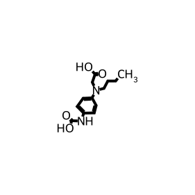 CCCCN(CC(=O)O)c1ccc(NC(=O)O)cc1